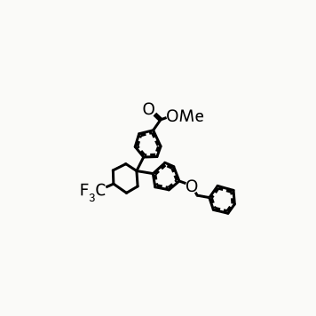 COC(=O)c1ccc(C2(c3ccc(OCc4ccccc4)cc3)CCC(C(F)(F)F)CC2)cc1